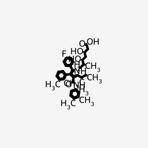 [2H]C([2H])(C(C)[C@@H](O)C[C@@H](O)CC(=O)O)n1c(-c2ccc(F)cc2)c(-c2cccc(C)c2C)c(C(=O)Nc2ccc(C)c(C)c2)c1C(C)CC